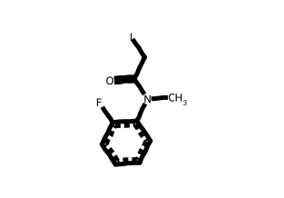 CN(C(=O)CI)c1ccccc1F